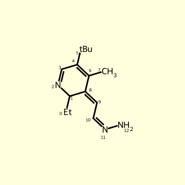 CCC1N=CC(C(C)(C)C)=C(C)/C1=C/C=N\N